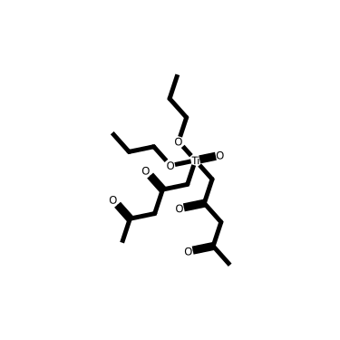 CCC[O][Ti](=[O])([CH2]C(=O)CC(C)=O)([CH2]C(=O)CC(C)=O)[O]CCC